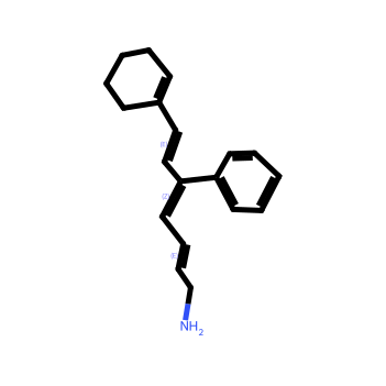 NC/C=C/C=C(/C=C/C1=CCCCC1)c1ccccc1